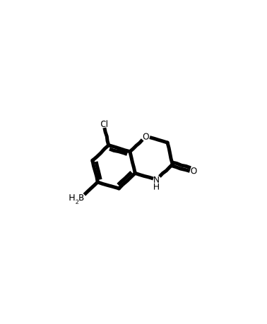 Bc1cc(Cl)c2c(c1)NC(=O)CO2